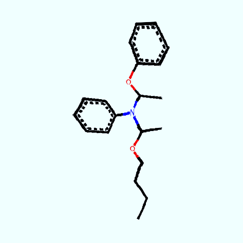 CCCCOC(C)N(c1ccccc1)C(C)Oc1ccccc1